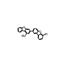 CC(C)c1cccc2c1oc1ccc(-c3cc(C(C)(C)C)c4c(c3)sc3ccccc34)cc12